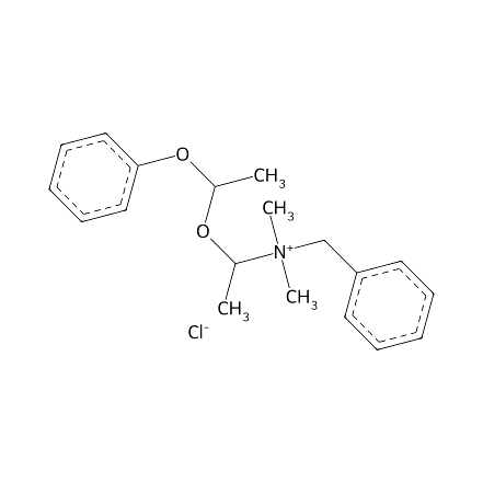 CC(Oc1ccccc1)OC(C)[N+](C)(C)Cc1ccccc1.[Cl-]